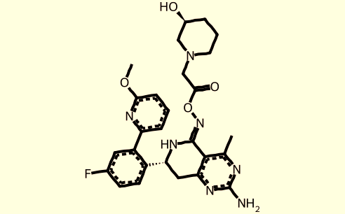 COc1cccc(-c2cc(F)ccc2[C@H]2Cc3nc(N)nc(C)c3C(=NOC(=O)CN3CCC[C@H](O)C3)N2)n1